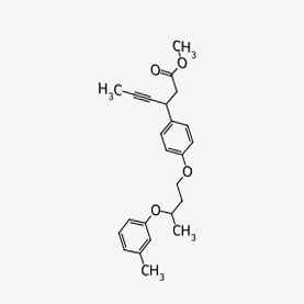 CC#CC(CC(=O)OC)c1ccc(OCCC(C)Oc2cccc(C)c2)cc1